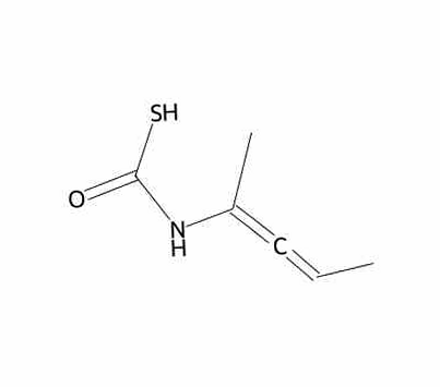 CC=C=C(C)NC(=O)S